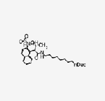 CCCCCCCCCCCCCCCCCCNC(=O)[C@@H](c1c(N[SH](=O)=O)ccc2ccccc12)[C@@H](C)O